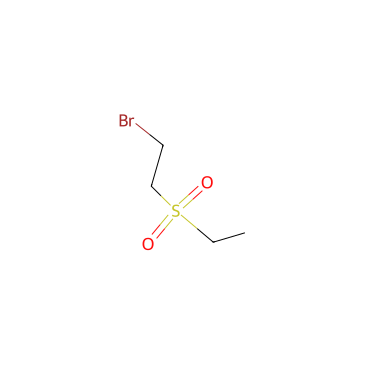 CCS(=O)(=O)CCBr